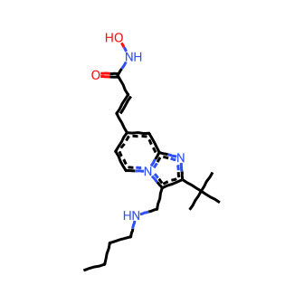 CCCCNCc1c(C(C)(C)C)nc2cc(C=CC(=O)NO)ccn12